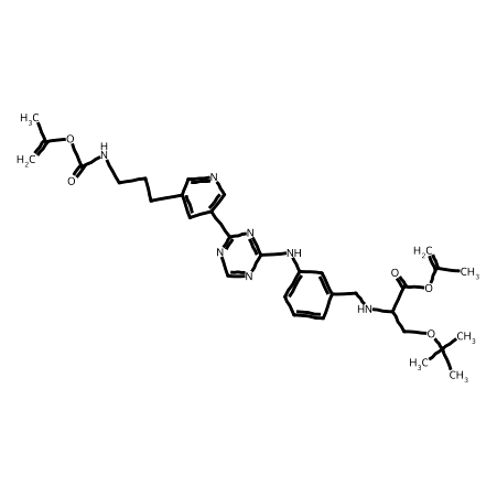 C=C(C)OC(=O)NCCCc1cncc(-c2ncnc(Nc3cccc(CNC(COC(C)(C)C)C(=O)OC(=C)C)c3)n2)c1